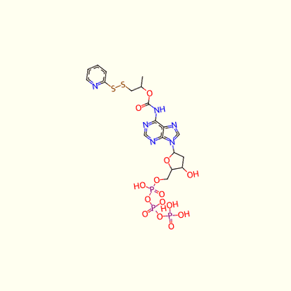 CC(CSSc1ccccn1)OC(=O)Nc1ncnc2c1ncn2C1CC(O)C(COP(=O)(O)OP(=O)(O)OP(=O)(O)O)O1